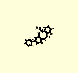 CC(=O)N1Cc2cc(-c3ccccc3)ccc2CCc2ccccc21